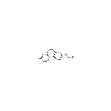 O=COc1ccc2c(c1)CCc1cc(I)ccc1-2